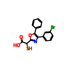 O=C(O)C(S)c1nc(-c2cccc(Br)c2)c(-c2ccccc2)o1